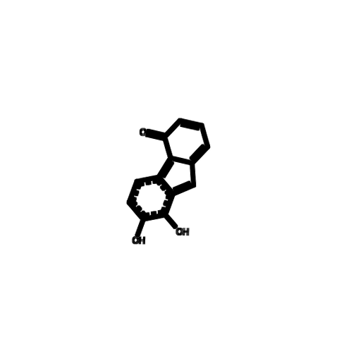 O=C1C=CC=C2C=c3c(O)c(O)ccc3=C12